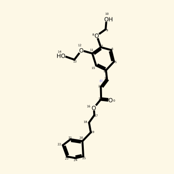 O=C(/C=C/c1ccc(OCO)c(OCO)c1)OCCCc1ccccc1